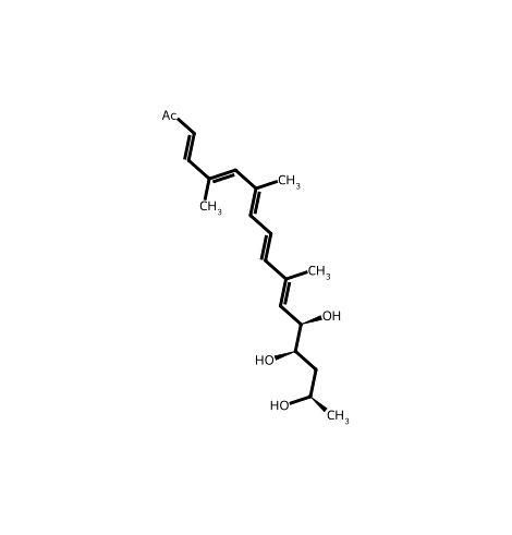 CC(=O)/C=C/C(C)=CC(C)=C/C=C/C(C)=C/[C@@H](O)[C@H](O)C[C@@H](C)O